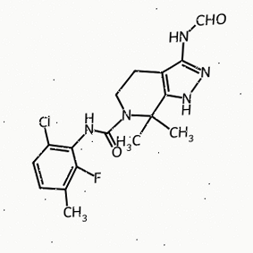 Cc1ccc(Cl)c(NC(=O)N2CCc3c(NC=O)n[nH]c3C2(C)C)c1F